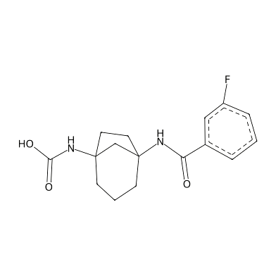 O=C(O)NC12CCCC(NC(=O)c3cccc(F)c3)(CC1)C2